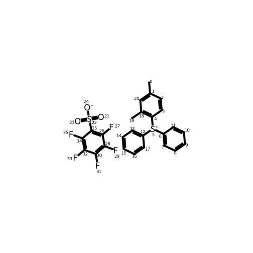 Cc1ccc([S+](c2ccccc2)c2ccccc2)c(C)c1.O=S(=O)([O-])c1c(F)c(F)c(F)c(F)c1F